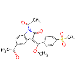 COC(=C1C(=O)N(C(C)=O)c2ccc(C(C)=O)cc21)c1ccc(S(C)(=O)=O)cc1